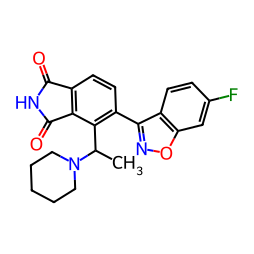 CC(c1c(-c2noc3cc(F)ccc23)ccc2c1C(=O)NC2=O)N1CCCCC1